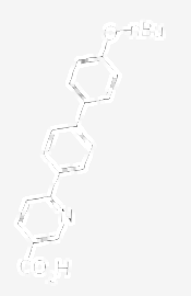 CCCCOc1ccc(-c2ccc(-c3ccc(C(=O)O)cn3)cc2)cc1